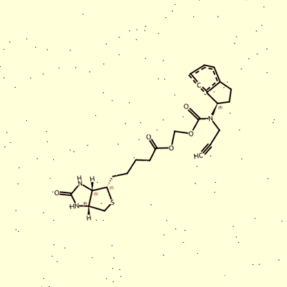 C#CCN(C(=O)OCOC(=O)CCCC[C@@H]1SC[C@@H]2NC(=O)N[C@@H]21)[C@@H]1CCc2ccccc21